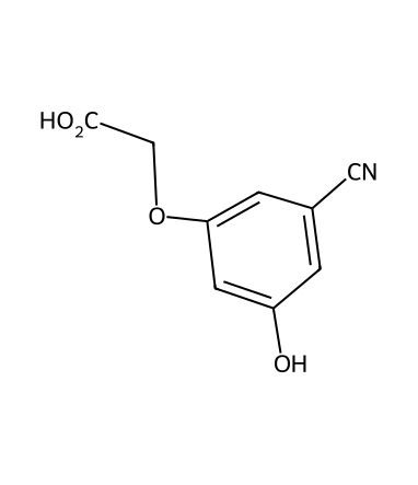 N#Cc1cc(O)cc(OCC(=O)O)c1